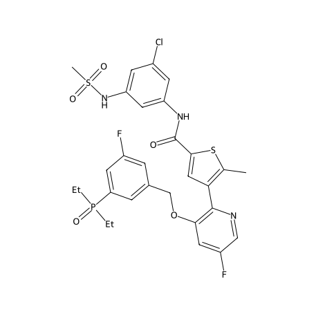 CCP(=O)(CC)c1cc(F)cc(COc2cc(F)cnc2-c2cc(C(=O)Nc3cc(Cl)cc(NS(C)(=O)=O)c3)sc2C)c1